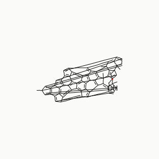 CC12C3=C4C5(C)c6c1c1c7c2c2c8c9c%10c%11c%12c%13c%14c%15c%16c%17c(c5c5c6c6c1c1c%18c7c8c7c8c9c%12c9c%12c%13c%16c%13c%16c%17c5c5c6c1c1c(c%187)c(c89)c(c%12%13)c1c5%16)C%15(C)C4(CCCO)C(=C3C2%10C)C%11%14C